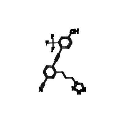 N#Cc1ccc(C#Cc2ccc(O)cc2C(F)(F)F)c(CCCn2cnnn2)c1